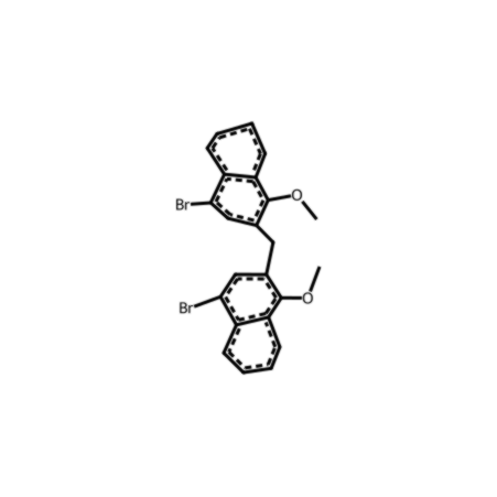 COc1c(Cc2cc(Br)c3ccccc3c2OC)cc(Br)c2ccccc12